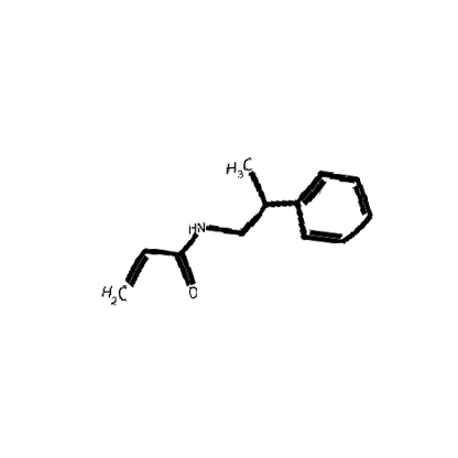 C=CC(=O)NCC(C)c1ccccc1